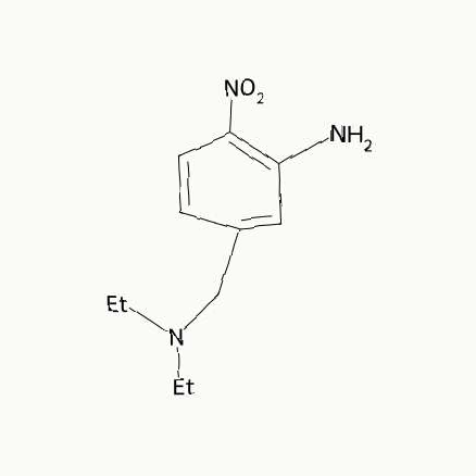 CCN(CC)Cc1ccc([N+](=O)[O-])c(N)c1